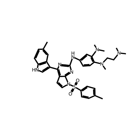 Cc1ccc(S(=O)(=O)n2ccc3c(-c4c[nH]c5ccc(C)cc45)nc(Nc4ccc(N(C)CCN(C)C)c(N(C)C)c4)nc32)cc1